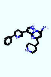 Nc1cc(CC2CCNCC2)nc2c(-c3ccc(-c4ccccc4)nc3)cnn12